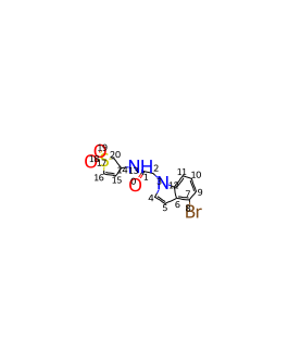 O=C(Cn1ccc2c(Br)cccc21)NC1C=CS(=O)(=O)C1